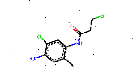 Cc1cc(N)c(Cl)cc1NC(=O)CCCl